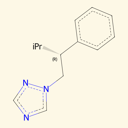 CC(C)[C@@H](Cn1cncn1)c1ccccc1